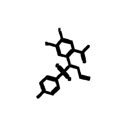 C=CCN(c1cc(Br)c(F)cc1C(C)=O)S(=O)(=O)c1ccc(C)cc1